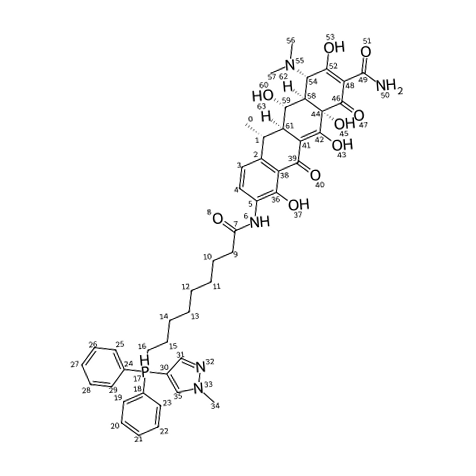 C[C@H]1c2ccc(NC(=O)CCCCCCCC[PH](c3ccccc3)(c3ccccc3)c3cnn(C)c3)c(O)c2C(=O)C2=C(O)[C@]3(O)C(=O)C(C(N)=O)=C(O)[C@@H](N(C)C)[C@@H]3[C@@H](O)[C@@H]21